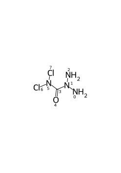 NN(N)C(=O)N(Cl)Cl